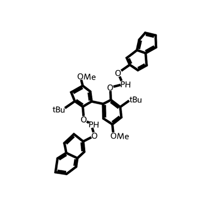 COc1cc(-c2cc(OC)cc(C(C)(C)C)c2OPOc2ccc3ccccc3c2)c(OPOc2ccc3ccccc3c2)c(C(C)(C)C)c1